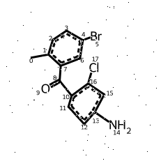 Cc1ccc(Br)cc1C(=O)c1ccc(N)cc1Cl